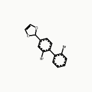 Brc1ccccc1-c1ccc(C2OC=CO2)cc1Br